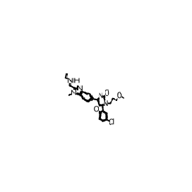 CCNCc1nc2cc(-c3nc(=O)n(CCCOC)c4c3oc3ccc(Cl)cc34)ccc2n1C